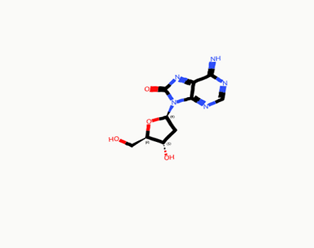 N=C1N=CN=C2C1=NC(=O)N2[C@H]1C[C@H](O)[C@@H](CO)O1